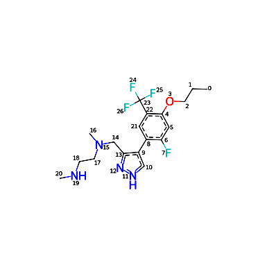 CCCOc1cc(F)c(-c2c[nH]nc2CN(C)CCNC)cc1C(F)(F)F